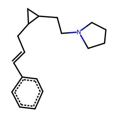 C(=C\c1ccccc1)/CC1CC1CCN1CCCC1